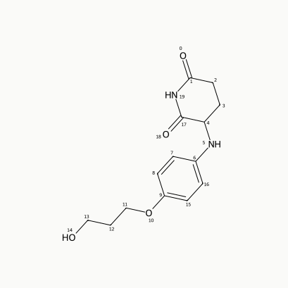 O=C1CCC(Nc2ccc(OCCCO)cc2)C(=O)N1